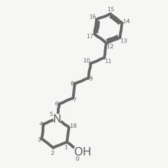 OC1CCCN(CCCCCCc2ccccc2)C1